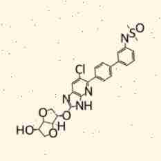 CS(C)(=O)=Nc1cccc(-c2ccc(-c3nc4[nH]c(O[C@@H]5COC6[C@H](O)CO[C@@H]65)nc4cc3Cl)cc2)c1